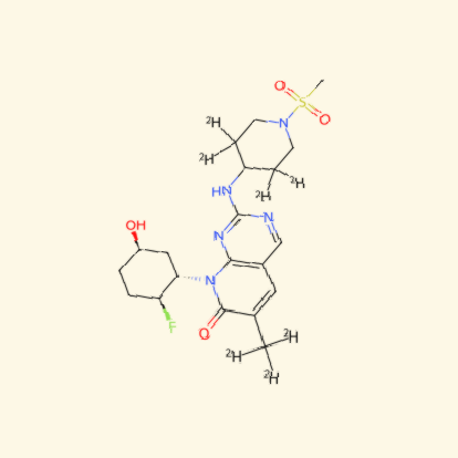 [2H]C([2H])([2H])c1cc2cnc(NC3C([2H])([2H])CN(S(C)(=O)=O)CC3([2H])[2H])nc2n([C@H]2C[C@H](O)CC[C@@H]2F)c1=O